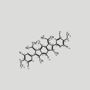 N#CC(C#N)=C1C(c2cc(F)c(OC(F)(F)F)c(F)c2)=C(C#N)c2c(F)c3c(c(C(F)(F)F)c21)C(=C(C#N)C#N)C(c1cc(F)c(OC(F)(F)F)c(F)c1)=C3C#N